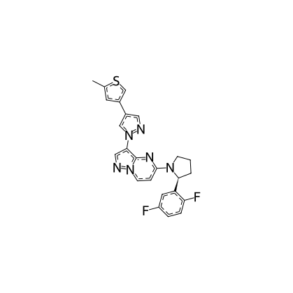 Cc1cc(-c2cnn(-c3cnn4ccc(N5CCC[C@H]5c5cc(F)ccc5F)nc34)c2)cs1